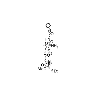 CCSCC[C@@H](N)C(OC)C(=O)NCCCC(=O)OCCCC(C)OC(C(=O)NCCC(=O)OCc1ccccc1)[C@H](N)CCSCC